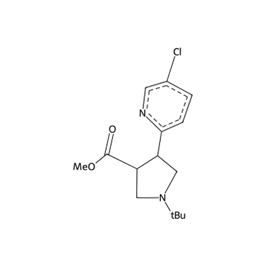 COC(=O)C1CN(C(C)(C)C)CC1c1ccc(Cl)cn1